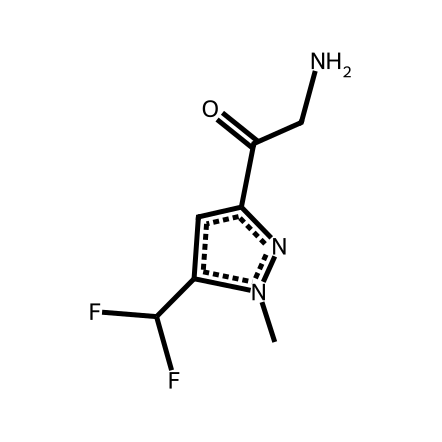 Cn1nc(C(=O)CN)cc1C(F)F